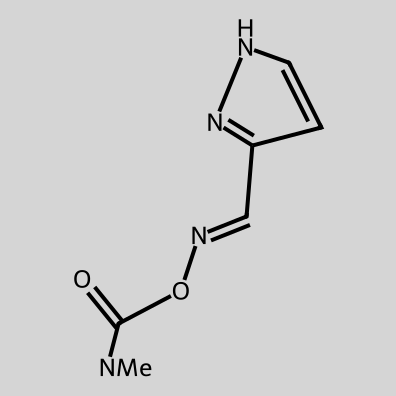 CNC(=O)O/N=C/c1cc[nH]n1